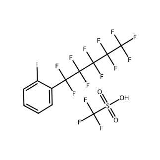 FC(F)(F)C(F)(F)C(F)(F)C(F)(F)C(F)(F)c1ccccc1I.O=S(=O)(O)C(F)(F)F